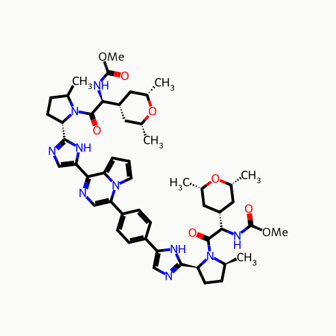 COC(=O)NC(C(=O)N1[C@@H](C)CC[C@H]1c1ncc(-c2ccc(-c3cnc(-c4cnc([C@@H]5CCC(C)N5C(=O)[C@@H](NC(=O)OC)[C@H]5C[C@@H](C)O[C@@H](C)C5)[nH]4)c4cccn34)cc2)[nH]1)[C@H]1C[C@@H](C)O[C@@H](C)C1